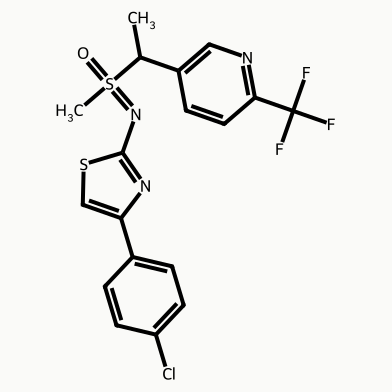 CC(c1ccc(C(F)(F)F)nc1)S(C)(=O)=Nc1nc(-c2ccc(Cl)cc2)cs1